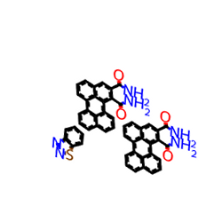 NC(=O)c1cc2cccc3c4cccc5cccc(c(c1C(N)=O)c23)c54.NC(=O)c1cc2cccc3c4cccc5cccc(c(c1C(N)=O)c23)c54.c1ccc2snnc2c1